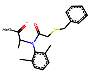 COC(=O)C(C)N(C(=O)CSCc1ccccc1)c1c(C)cccc1C